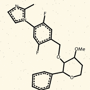 COC1CCOC(c2ccccc2)C1OCc1cc(F)c(-n2ccnc2C)cc1F